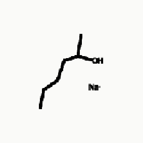 CCCCC(C)O.[Na]